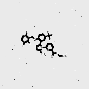 CCOC(=O)c1cccc(-n2c(C)ccc2-c2cc(C(F)(F)F)ccc2OCc2c(F)ccc(F)c2F)n1